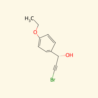 CCOc1ccc([C@H](O)C#CBr)cc1